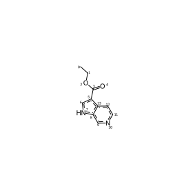 CCOC(=O)c1c[nH]c2cnccc12